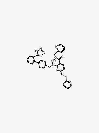 CCCN(Cc1ccc(-c2ccccc2-c2nnn[nH]2)cc1)c1nc(OCc2ccccn2)ccc1C(=O)OCc1ccccn1